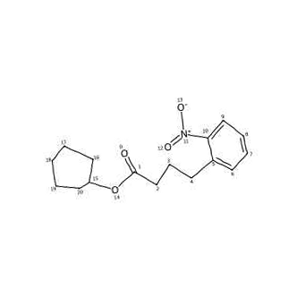 O=C(CCCc1ccccc1[N+](=O)[O-])OC1CCCCC1